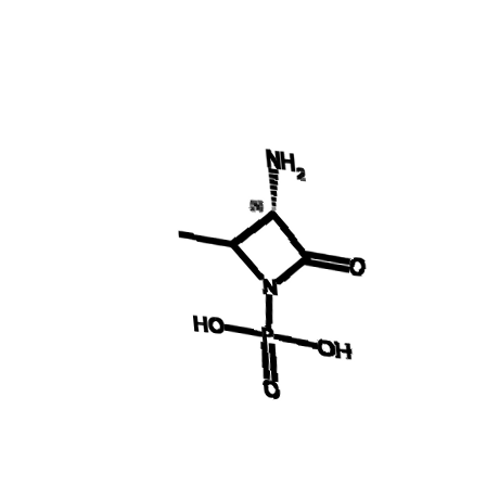 CC1[C@H](N)C(=O)N1P(=O)(O)O